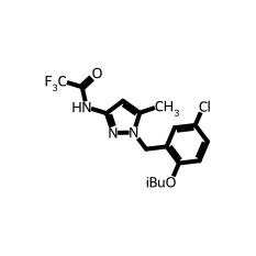 Cc1cc(NC(=O)C(F)(F)F)nn1Cc1cc(Cl)ccc1OCC(C)C